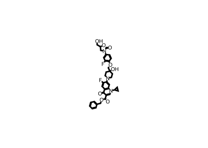 O=C(OCc1ccccc1)c1cn(C2CC2)c2cc(N3CCC(O)(COc4ccc(N5CC(CO)OC5=O)cc4F)CC3)c(F)cc2c1=O